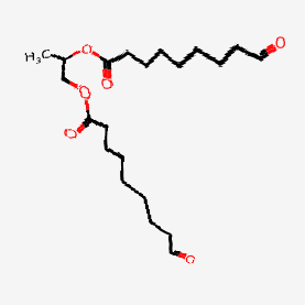 CC(COC(=O)CCCCCCCC=O)OC(=O)CCCCCCCC=O